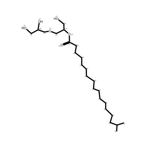 CC(C)CCCCCCCCCCCCCCC(=O)OC(CO)COCC(O)CO